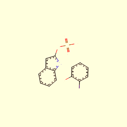 O=S(=O)(O)Oc1cc2ccccc2[nH]1.Oc1ccccc1I